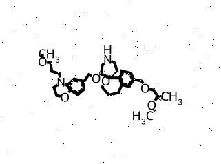 CCO[C@H](C)COCc1ccc2c(c1)CCCO[C@@]21CCNC[C@@H]1OCc1ccc2c(c1)N(CCCOC)CCO2